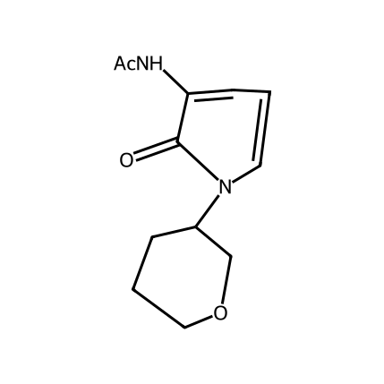 CC(=O)Nc1cccn(C2CCCOC2)c1=O